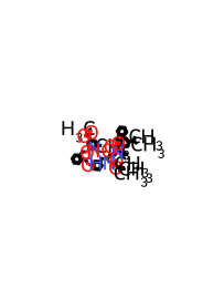 COC(=O)c1cc(C)nc(OCc2ccccc2COc2cccc(C[C@H](NC(=O)OC(C)(C)C)[C@H](O)CN(C(=O)OCc3ccccc3)C3(c4cccc(C(C)C)c4)CC3)c2)c1